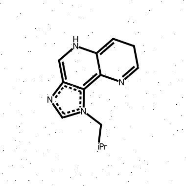 CC(C)Cn1cnc2c1=C1N=CCC=C1NC=2